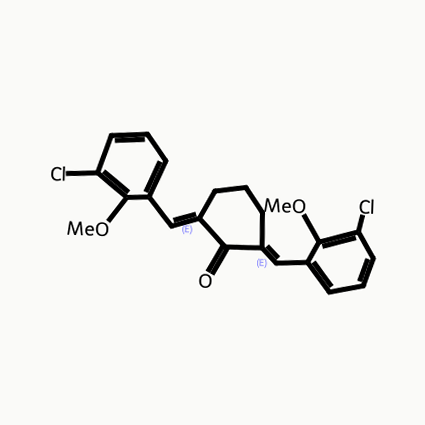 COc1c(Cl)cccc1/C=C1\CCC/C(=C\c2cccc(Cl)c2OC)C1=O